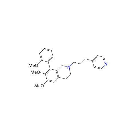 COc1ccccc1-c1c2c(cc(OC)c1OC)CCN(CCCc1ccncc1)C2